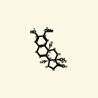 COc1cc2c(cc1O)CC=C1[C@@H]2CC[C@]2(C)C(=O)CC[C@@H]12